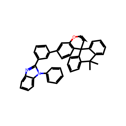 CC1(C)c2ccccc2C2(c3ccccc3Oc3cc(-c4cccc(-c5nc6ccccc6n5-c5ccccc5)c4)ccc32)c2ccccc21